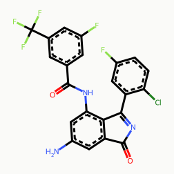 Nc1cc(NC(=O)c2cc(F)cc(C(F)(F)F)c2)c2c(c1)C(=O)N=C2c1cc(F)ccc1Cl